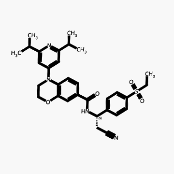 CCS(=O)(=O)c1ccc([C@H](CC#N)NC(=O)c2ccc3c(c2)OCCN3c2cc(C(C)C)nc(C(C)C)c2)cc1